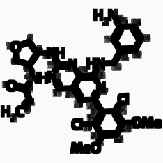 C=CC(=O)N[C@H]1COC[C@H]1Nc1ncc2cc(-c3c(Cl)c(OC)cc(OC)c3Cl)nc(NCc3cccc(N)c3)c2n1